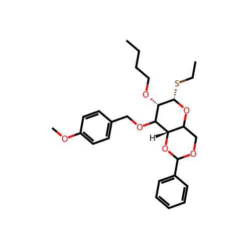 CCCCO[C@H]1C(OCc2ccc(OC)cc2)[C@H]2OC(c3ccccc3)OCC2O[C@H]1SCC